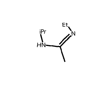 CC/N=C(/C)NC(C)C